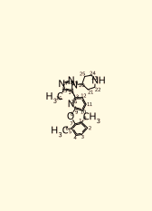 Cc1cccc(C)c1Oc1cccc(-c2c(C)nnn2C2CCNCC2)n1